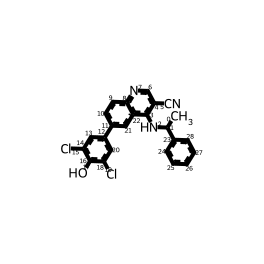 CC(Nc1c(C#N)cnc2ccc(-c3cc(Cl)c(O)c(Cl)c3)cc12)c1ccccc1